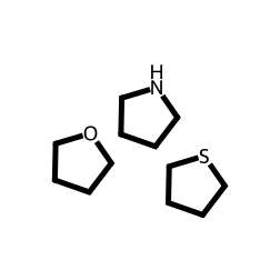 C1CCNC1.C1CCOC1.C1CCSC1